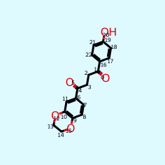 O=C(CCC(=O)c1ccc2c(c1)OCCO2)c1ccc(O)cc1